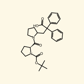 CC(C)(C)OC(=O)N1CCC[C@H]1C(=O)N1CCCC1CC(C(=O)O)(c1ccccc1)c1ccccc1